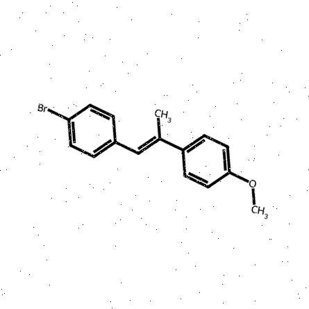 COc1ccc(C(C)=Cc2ccc(Br)cc2)cc1